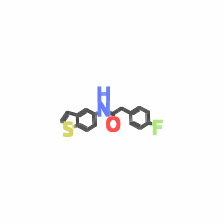 O=C(Cc1ccc(F)cc1)Nc1ccc2sccc2c1